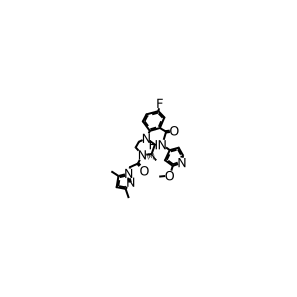 COc1cc(NC(=O)c2cc(F)ccc2N2CCN(C(=O)Cn3nc(C)cc3C)[C@H](C)C2)ccn1